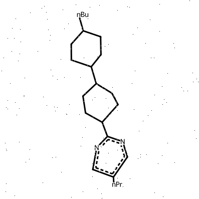 CCCCC1CCC(C2CCC(c3ncc(CCC)cn3)CC2)CC1